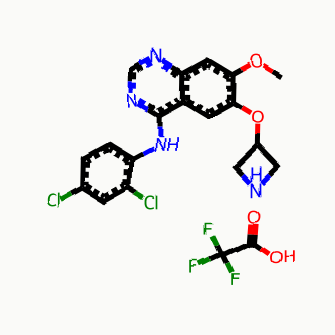 COc1cc2ncnc(Nc3ccc(Cl)cc3Cl)c2cc1OC1CNC1.O=C(O)C(F)(F)F